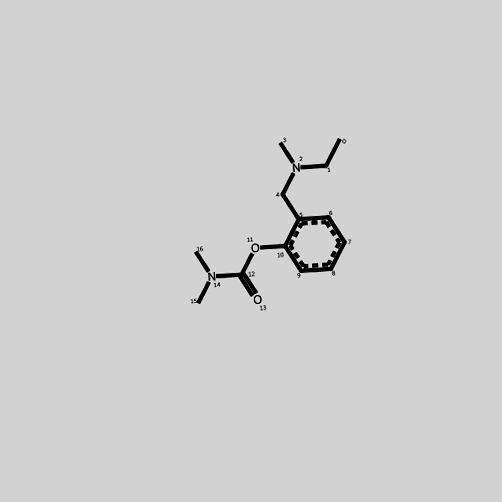 CCN(C)Cc1ccccc1OC(=O)N(C)C